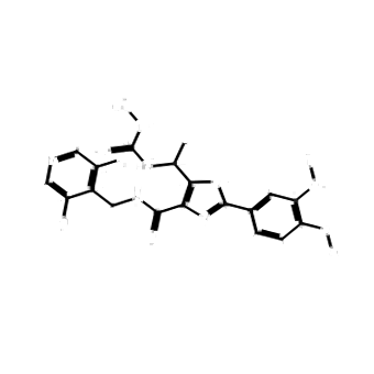 CCOc1ccc(-c2nc(C(=O)NCc3c(Cl)cncc3Cl)c(C(C)NC(=O)OC(C)(C)C)o2)cc1OCC